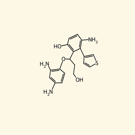 Nc1ccc(OC(CCO)c2c(O)ccc(N)c2-c2ccsc2)c(N)c1